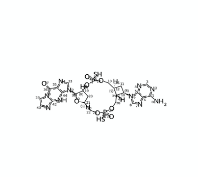 Nc1ncnc2c1ncn2[C@@H]1C[C@@H]2CO[P@](=O)(S)O[C@@H]3C[C@@H](CO[P@@](=O)(S)OC[C@H]21)O[C@H]3n1cnc2c(=O)n3ccnc3[nH]c21